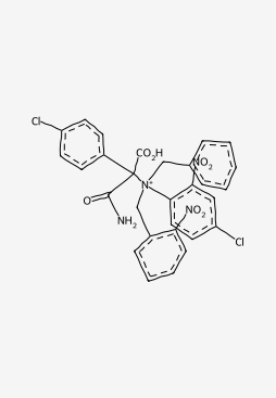 NC(=O)C(C(=O)O)(c1ccc(Cl)cc1)[N+](Cc1ccccc1)(Cc1ccccc1[N+](=O)[O-])c1ccc(Cl)cc1[N+](=O)[O-]